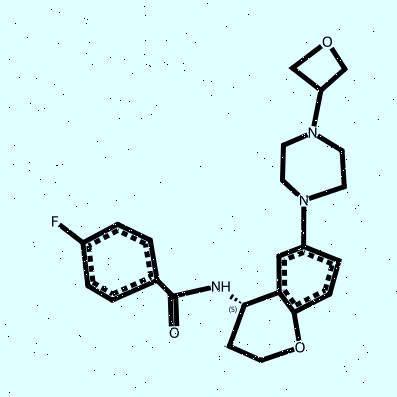 O=C(N[C@H]1[CH]COc2ccc(N3CCN(C4COC4)CC3)cc21)c1ccc(F)cc1